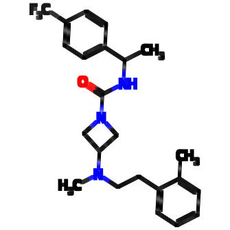 Cc1ccccc1CCN(C)C1CN(C(=O)NC(C)c2ccc(C(F)(F)F)cc2)C1